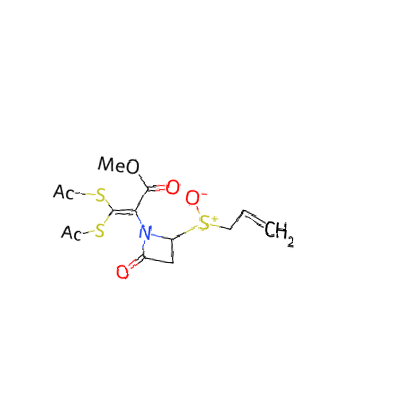 C=CC[S+]([O-])C1CC(=O)N1C(C(=O)OC)=C(SC(C)=O)SC(C)=O